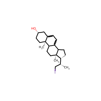 C[C@H](CI)[C@H]1CCC2C3=CC=C4C[C@@H](O)CC[C@]4(C)C3CC[C@@]21C